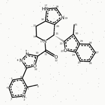 Cc1ncccc1-c1nnc(C(=O)N2CCc3[nH]cnc3[C@@H]2c2oc3ccccc3c2C)o1